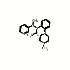 CN1CCN(c2ccccc2N(C(N)=O)N(C)c2cccnc2)CC1